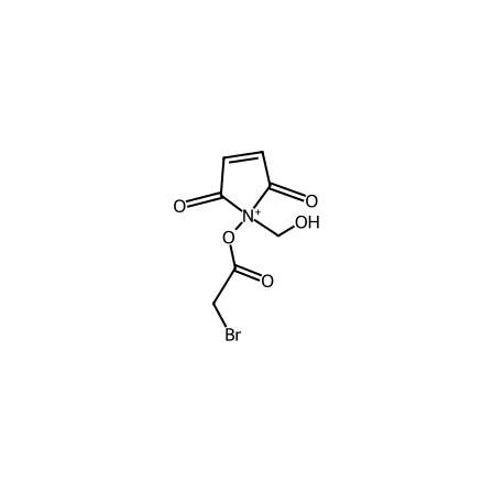 O=C(CBr)O[N+]1(CO)C(=O)C=CC1=O